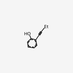 CCC#Cc1ccccc1O